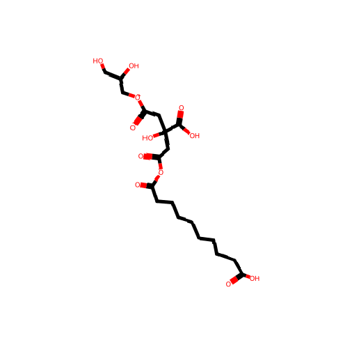 O=C(O)CCCCCCCCC(=O)OC(=O)CC(O)(CC(=O)OCC(O)CO)C(=O)O